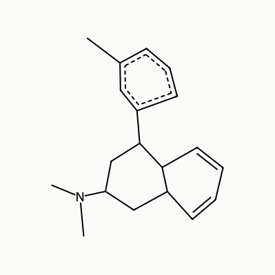 Cc1cccc(C2CC(N(C)C)CC3C=CC=CC32)c1